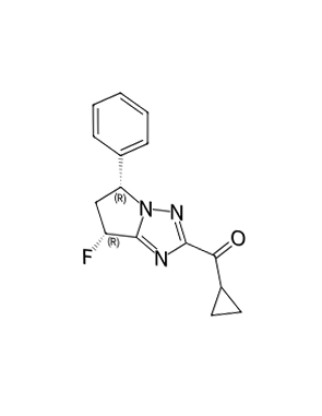 O=C(c1nc2n(n1)[C@@H](c1ccccc1)C[C@H]2F)C1CC1